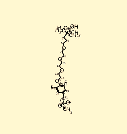 CC(C)(CCCOCCOCCOCCOc1c(F)cc(COS(C)(=O)=O)cc1F)[Si](C)(C)O